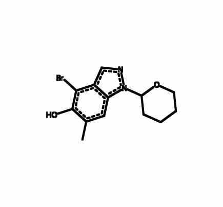 Cc1cc2c(cnn2C2CCCCO2)c(Br)c1O